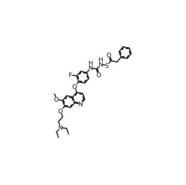 CCN(CC)CCOc1cc2nccc(Oc3ccc(NC(=O)NSC(=O)Cc4ccccc4)cc3F)c2cc1OC